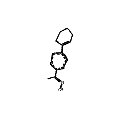 CC(=NO)c1ccc(C2=CCCCC2)cc1